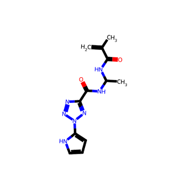 C=C(C)C(=O)NC(C)NC(=O)c1nnn(-c2ccc[nH]2)n1